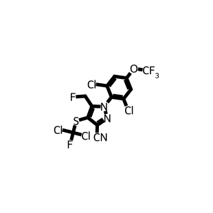 N#Cc1nn(-c2c(Cl)cc(OC(F)(F)F)cc2Cl)c(CF)c1SC(F)(Cl)Cl